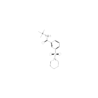 CC(C)(C)NC(=O)c1cccc(S(=O)(=O)N2CCCCC2)c1